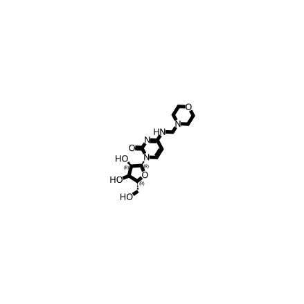 O=c1nc(NCN2CCOCC2)ccn1[C@@H]1O[C@H](CO)C(O)[C@H]1O